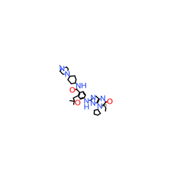 CC[C@@H]1C(=O)N(C)c2cnc(Nc3ccc(C(=O)NC4CCC(N5CCN(C)CC5)CC4)c4c3OC(C)(C)C4)nc2N1C1CCCC1